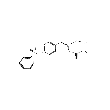 COCC(Cc1ccc(OS(=O)(=O)c2ccccc2)cc1)NC(=O)OC(C)(C)C